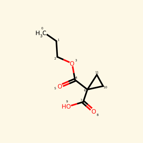 CCCOC(=O)C1(C(=O)O)CC1